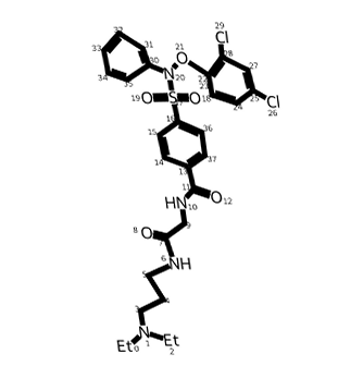 CCN(CC)CCCNC(=O)CNC(=O)c1ccc(S(=O)(=O)N(Oc2ccc(Cl)cc2Cl)c2ccccc2)cc1